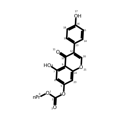 CCCOC(=O)Oc1cc(O)c2c(=O)c(-c3ccc(O)cc3)coc2c1